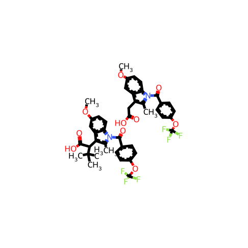 COc1ccc2c(c1)c(C(C(=O)O)C(C)(C)C)c(C)n2C(=O)c1ccc(OC(F)(F)F)cc1.COc1ccc2c(c1)c(CC(=O)O)c(C)n2C(=O)c1ccc(OC(F)(F)F)cc1